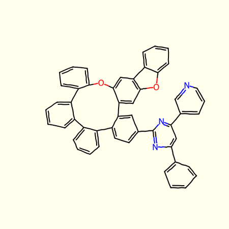 c1ccc(-c2cc(-c3cccnc3)nc(-c3ccc4c(c3)-c3cc5oc6ccccc6c5cc3Oc3ccccc3-c3ccccc3-c3ccccc3-4)n2)cc1